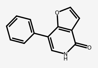 O=c1[nH]cc(-c2ccccc2)c2occc12